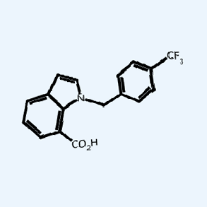 O=C(O)c1cccc2ccn(Cc3ccc(C(F)(F)F)cc3)c12